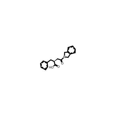 O=C(O)[C@H](CC(=O)N1Cc2ccccc2C1)Cc1ccccc1